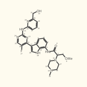 COCC(C(=O)Nc1cccc2c(-c3nc(Nc4cccc(CO)n4)ncc3F)c[nH]c12)N1CCN(C)CC1